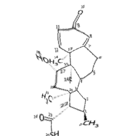 C[C@@H]1CC2C3CCC4=CC(=O)C=C[C@]4(C)[C@]3(F)[C@@H](O)C[C@]2(C)[C@H]1C(=O)S